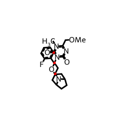 COCc1nc(=O)n(CCCN2C3CCC2CC(OCc2ccccc2F)C3)c(=O)n1C